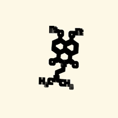 CCOc1ccc2c3c(ccc(OCC)c13)C(=O)N(CCN(C)C)C2=O